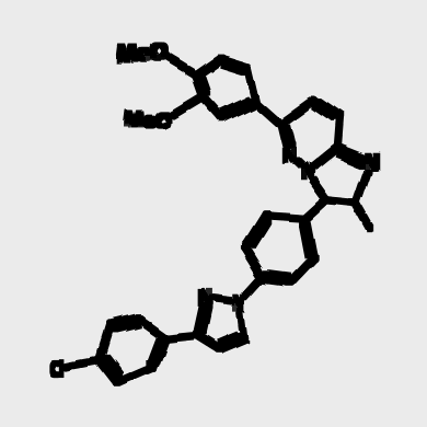 COc1ccc(C2=NN3C(=NC(C)C3c3ccc(-n4ccc(-c5ccc(Cl)cc5)n4)cc3)C=C2)cc1OC